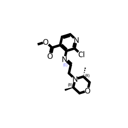 COC(=O)c1ccnc(Cl)c1/N=C/CN1[C@H](C)COC[C@H]1C